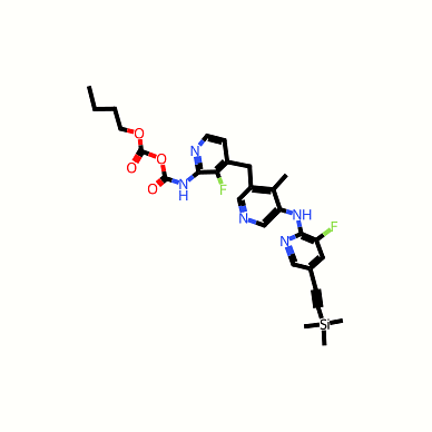 CCCCOC(=O)OC(=O)Nc1nccc(Cc2cncc(Nc3ncc(C#C[Si](C)(C)C)cc3F)c2C)c1F